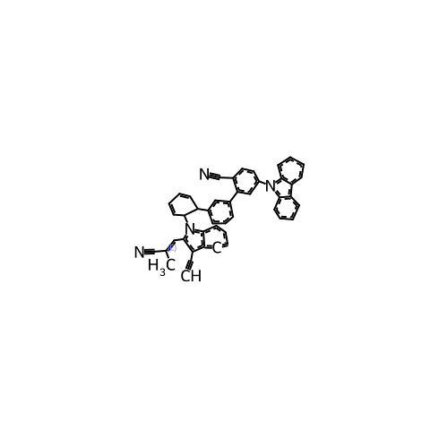 C#Cc1c(/C=C(\C)C#N)n(C2C=CC=CC2c2cccc(-c3cc(-n4c5ccccc5c5ccccc54)ccc3C#N)c2)c2ccccc12